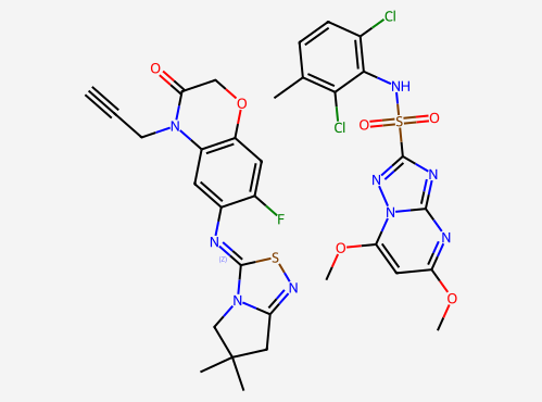 C#CCN1C(=O)COc2cc(F)c(/N=c3\snc4n3CC(C)(C)C4)cc21.COc1cc(OC)n2nc(S(=O)(=O)Nc3c(Cl)ccc(C)c3Cl)nc2n1